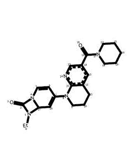 CCN1C(=O)N2C=CC(N3CCCc4cc(C(=O)N5CCCCC5)cnc43)=CC21